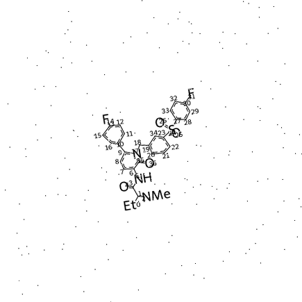 CCC(NC)C(=O)Nc1ccc(-c2ccc(F)cc2)n(Cc2cccc(S(=O)(=O)c3ccc(F)cc3)c2)c1=O